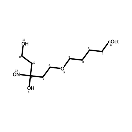 CCCCCCCCCCCCOCCC(O)(CCO)N=O